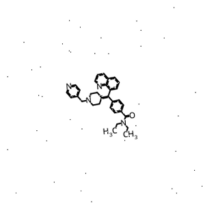 CCN(CC)C(=O)c1ccc(C(=C2CCN(Cc3ccncc3)CC2)c2cccc3cccnc23)cc1